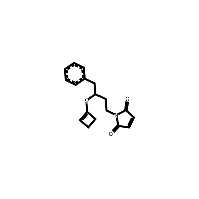 O=C1C=CC(=O)N1CCC(Cc1ccccc1)SC1=CCC1